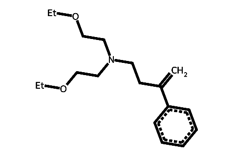 C=C(CCN(CCOCC)CCOCC)c1ccccc1